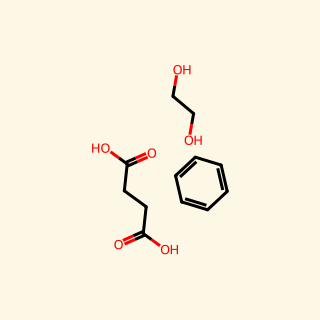 O=C(O)CCC(=O)O.OCCO.c1ccccc1